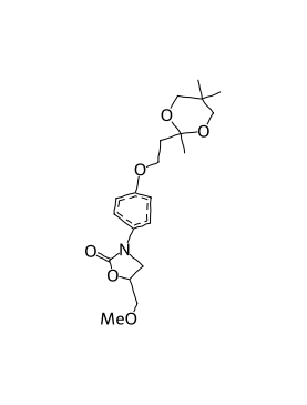 COCC1CN(c2ccc(OCCC3(C)OCC(C)(C)CO3)cc2)C(=O)O1